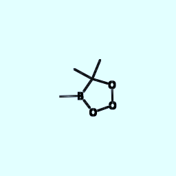 CB1OOOC1(C)C